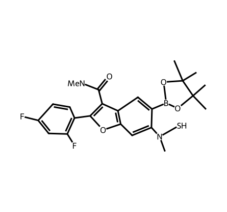 CNC(=O)c1c(-c2ccc(F)cc2F)oc2cc(N(C)S)c(B3OC(C)(C)C(C)(C)O3)cc12